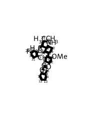 COc1cc(OS(=O)(=O)Cc2ccccc2)ccc1-c1ccc2c(c1COc1cc(F)ccc1C)C(C)=CC(C)(C)N2